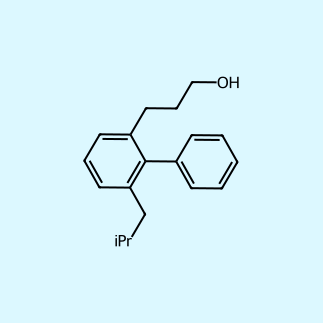 CC(C)Cc1cccc(CCCO)c1-c1ccccc1